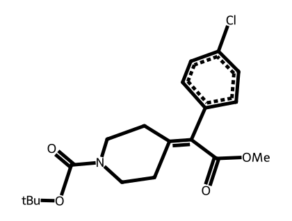 COC(=O)C(=C1CCN(C(=O)OC(C)(C)C)CC1)c1ccc(Cl)cc1